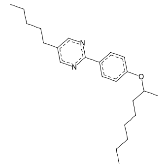 CCCCCCC(C)Oc1ccc(-c2ncc(CCCCC)cn2)cc1